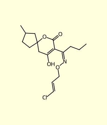 CCC/C(=N/OC/C=C/Cl)C1=C(O)CC2(CCC(C)C2)OC1=O